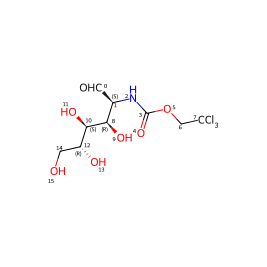 O=C[C@@H](NC(=O)OCC(Cl)(Cl)Cl)[C@@H](O)[C@H](O)[C@H](O)CO